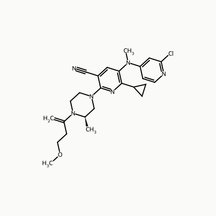 C=C(CCOC)N1CCN(c2nc(C3CC3)c(N(C)c3ccnc(Cl)c3)cc2C#N)C[C@H]1C